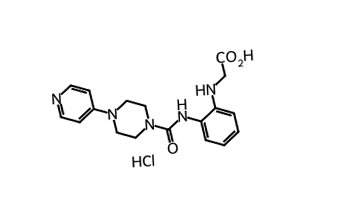 Cl.O=C(O)CNc1ccccc1NC(=O)N1CCN(c2ccncc2)CC1